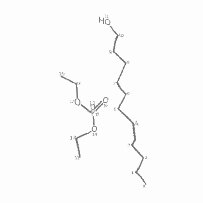 CCCCCCCCCCCO.CCO[PH](=O)OCC